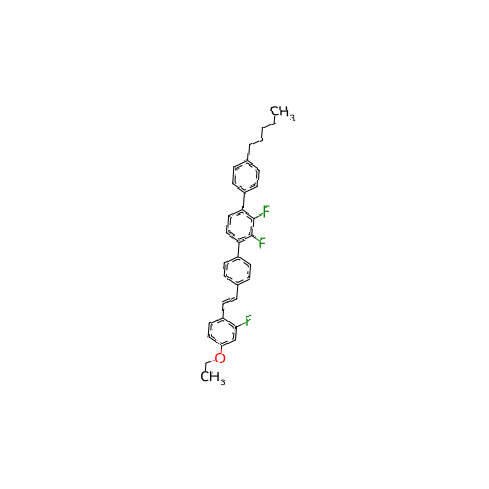 CCCCCc1ccc(-c2ccc(-c3ccc(/C=C/c4ccc(OCC)cc4F)cc3)c(F)c2F)cc1